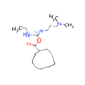 CCN/C(=N/CCCN(C)C)OC(=O)C1CCCCCCCCC1